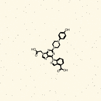 O=C(O)Cn1cnc2c(-n3ncc4c(C(=O)O)cccc43)nc(N3CCN(c4ccc(O)cc4)CC3)nc21